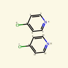 Clc1ccncc1.Clc1ccncc1